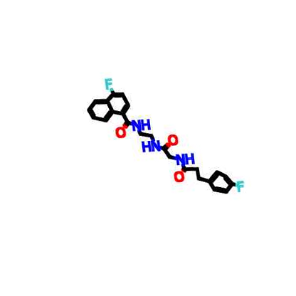 O=C(CCc1ccc(F)cc1)NCC(=O)NCCNC(=O)c1ccc(F)c2ccccc12